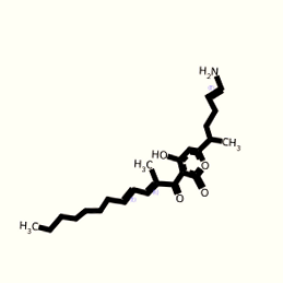 CCCCCCC/C=C/C=C(\C)C(=O)c1c(O)cc(C(C)CC/C=C/N)oc1=O